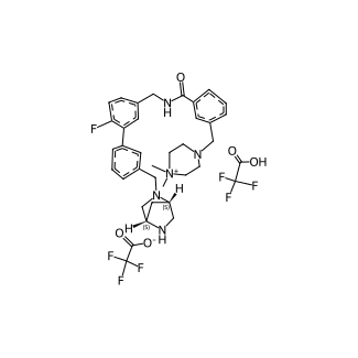 C[N+]1(C)CCN(Cc2cccc(C(=O)NCc3ccc(F)c(-c4cccc(CN5C[C@@H]6C[C@H]5CN6)c4)c3)c2)CC1.O=C(O)C(F)(F)F.O=C([O-])C(F)(F)F